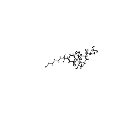 CCCCCCC(C)(C)c1cc(O)c2c(c1)OC(C)(C)[C@@H]1CC=C(C(=O)NC(C)C)C[C@@H]21